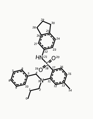 CCCN(Cc1ccccc1)c1cc(C)ccc1S(=O)(=O)Nc1ccc2c(c1)CCC2